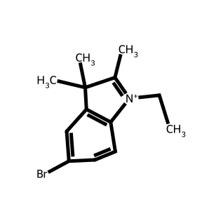 CC[N+]1=C(C)C(C)(C)c2cc(Br)ccc21